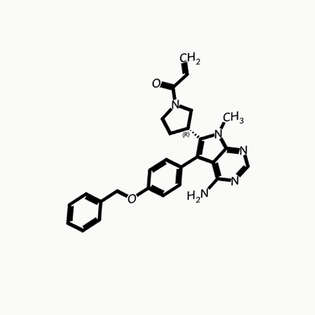 C=CC(=O)N1CC[C@@H](c2c(-c3ccc(OCc4ccccc4)cc3)c3c(N)ncnc3n2C)C1